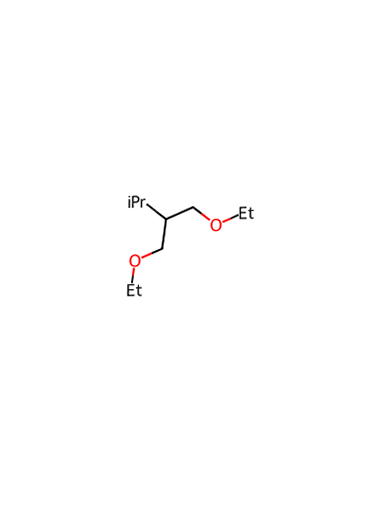 CCOCC(COCC)C(C)C